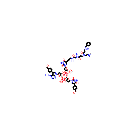 COC[C@H]1O[C@@H](n2cc(C#CCNC(=O)CNC(=O)CCN(CCN(C)C)C(=O)CCNCc3ccccc3)c(=O)[nH]c2=O)C[C@@H]1OP(=O)(O)OC[C@H]1O[C@@H](n2cc(-c3ccc(C=O)cc3)c(=O)[nH]c2=O)C[C@@H]1OP(=O)(O)OC[C@H]1O[C@@H](n2cc(-c3ccc(C=O)cc3)c3c(N)ncnc32)C[C@@H]1O